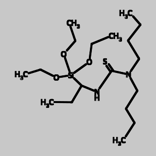 CCCCN(CCCC)C(=S)NC(CC)[Si](OCC)(OCC)OCC